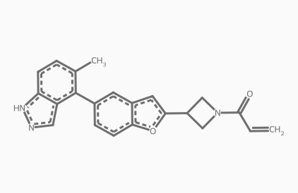 C=CC(=O)N1CC(c2cc3cc(-c4c(C)ccc5[nH]ncc45)ccc3o2)C1